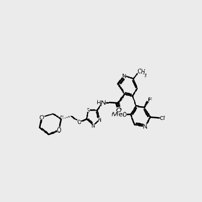 COc1cnc(Cl)c(F)c1-c1cc(C)ncc1C(=O)Nc1nnc(OC[C@H]2COCCO2)s1